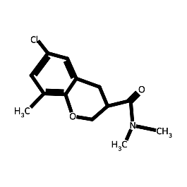 Cc1cc(Cl)cc2c1OCC(C(=O)N(C)C)C2